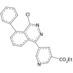 CCOC(=O)c1cncc(-c2nnc(Cl)c3c(-c4ccccc4)cccc23)c1